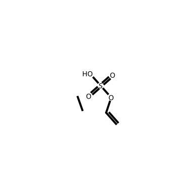 C=COS(=O)(=O)O.CC